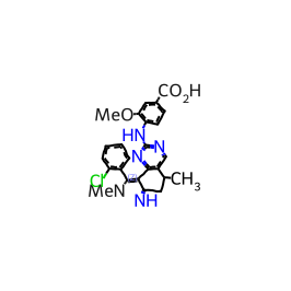 CN/C(=C1\C(=N)CC(C)c2cnc(Nc3ccc(C(=O)O)cc3OC)nc21)c1ccccc1Cl